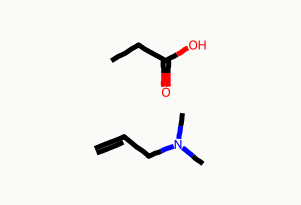 C=CCN(C)C.CCC(=O)O